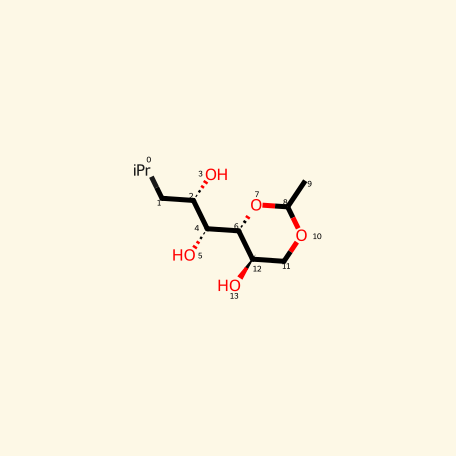 CC(C)C[C@H](O)[C@@H](O)[C@@H]1OC(C)OC[C@H]1O